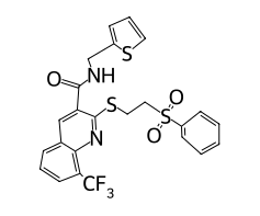 O=C(NCc1cccs1)c1cc2cccc(C(F)(F)F)c2nc1SCCS(=O)(=O)c1ccccc1